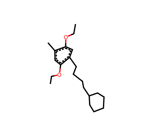 CCOc1cc(CCCCC2CCCCC2)c(OCC)cc1C